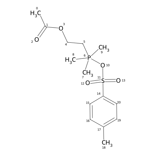 CC(=O)OCCP(C)(C)(C)OS(=O)(=O)c1ccc(C)cc1